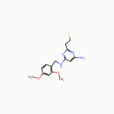 COc1ccc(CNc2cc(N)nc(CCF)n2)c(OC)c1